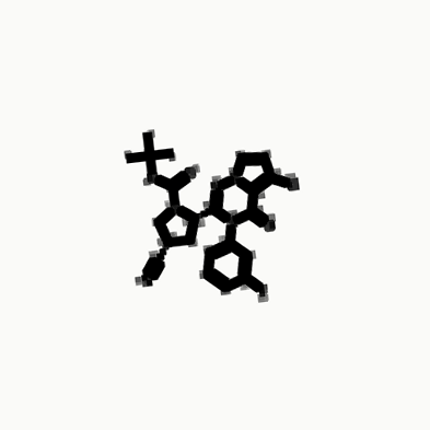 CC(C)(C)OC(=O)N1C[C@@H](C#N)C[C@H]1c1nn2ccc(Cl)c2c(=O)n1-c1cccc(F)c1